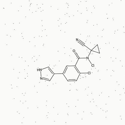 N#CC1(N(Cl)C(=O)c2cc(-c3cn[nH]c3)ccc2Cl)CC1